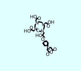 O=C(O)CN1CCN(CC(=O)O)CCN(CC(O)COc2ccc(N3CC(=O)OC(=O)C3)cc2)CCN(CC(=O)O)CC1